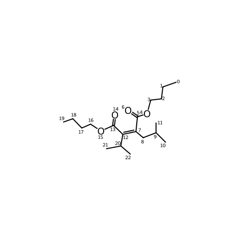 CCCCOC(=O)/C(CC(C)C)=C(\C(=O)OCCCC)C(C)C